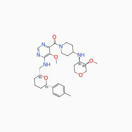 COc1c(NC[C@H]2CCC[C@@H](c3ccc(C)cc3)O2)ncnc1C(=O)N1CCC(N[C@@H]2CCOC[C@@H]2OC)CC1